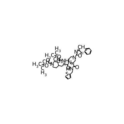 C[C@@H]1N=C(N2CCN(C(=O)[C@@H](CC3CCN(C(=O)OC(C)(C)C)CC3)NC(=O)OC(C)(C)C)[C@H](C(=O)NCc3cccs3)C2)O[C@H]1c1ccccc1